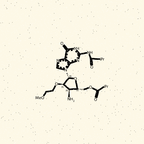 COCCO[C@@H]1[C@H](N)[C@@H](COC(=O)C(C)C)O[C@H]1n1cnc2c(=O)[nH]c(NC(=O)C(C)C)nc21